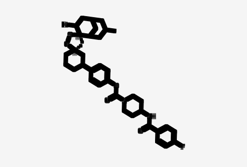 CCC1CC2CC(C)CC(C2)[C@]12C[C@]1(CCCC(c3ccc(OC(=O)N4CCC(NC(=O)c5ccc(F)cc5)CC4)cc3)C1)OO2